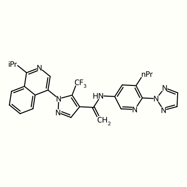 C=C(Nc1cnc(-n2nccn2)c(CCC)c1)c1cnn(-c2cnc(C(C)C)c3ccccc23)c1C(F)(F)F